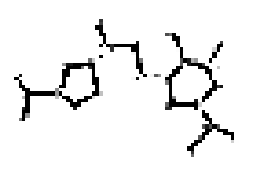 CC(C)N1CC[C@@H](N(C)CC[C@H]2CN(C(C)C)C[C@H](C)N2C)C1